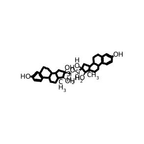 C[C@]12CCC3c4ccc(O)cc4CCC3C1C[C@@](O)([SiH2]O[SiH2][C@]1(O)CC3C4CCc5cc(O)ccc5C4CC[C@]3(C)[C@H]1O)[C@@H]2O